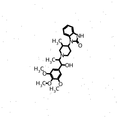 COc1cc(C(O)C(C)N2CCC(n3c(=O)[nH]c4ccccc43)C(C)C2)cc(OC)c1OC